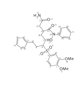 COc1ccc(S(=O)(=O)C(CCc2ccccc2)CCC(CC(N)=O)C(=O)N(O)c2ccccc2)cc1OC